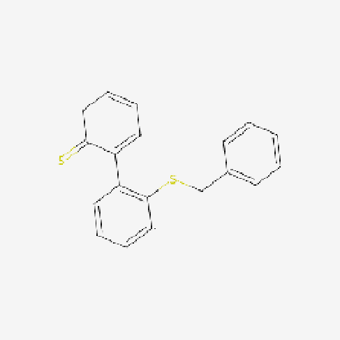 S=C1CC=CC=C1c1ccc[c]c1SCc1ccccc1